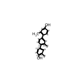 Cc1cc(O)ccc1-c1ccc(-c2ccc(O)c(F)c2)c(F)c1